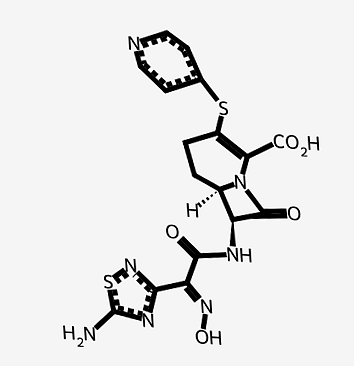 Nc1nc(C(=NO)C(=O)N[C@@H]2C(=O)N3C(C(=O)O)=C(Sc4ccncc4)CC[C@H]23)ns1